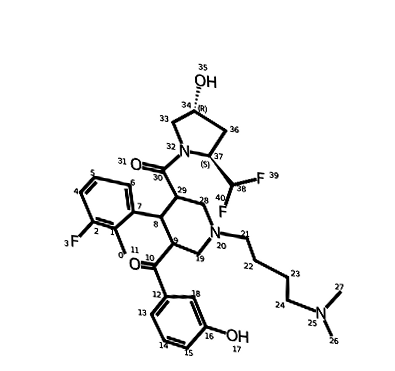 Cc1c(F)cccc1C1C(C(=O)c2cccc(O)c2)CN(CCCCN(C)C)CC1C(=O)N1C[C@H](O)C[C@H]1C(F)F